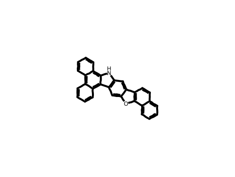 c1ccc2c(c1)ccc1c3cc4[nH]c5c6ccccc6c6ccccc6c5c4cc3oc21